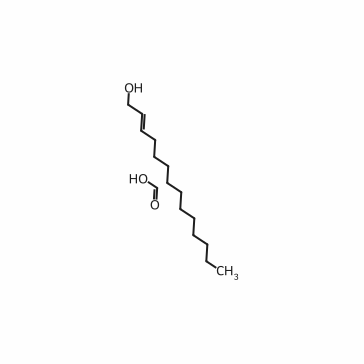 CCCCCCCCCCC/C=C/CO.O=CO